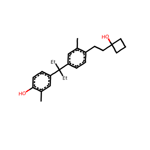 CCC(CC)(c1ccc(O)c(C)c1)c1ccc(CCC2(O)CCC2)c(C)c1